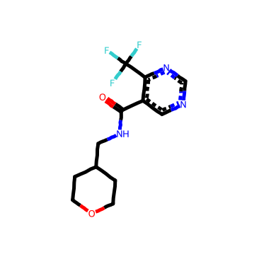 O=C(NCC1CCOCC1)c1cncnc1C(F)(F)F